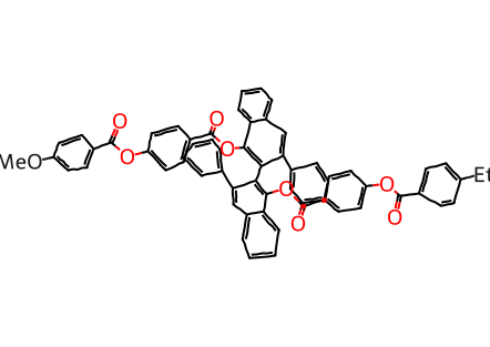 CCc1ccc(C(=O)Oc2ccc(C(=O)Oc3c(-c4c(-c5ccccc5)cc5ccccc5c4OC(=O)c4ccc(OC(=O)c5ccc(OC)cc5)cc4)c(-c4ccccc4)cc4ccccc34)cc2)cc1